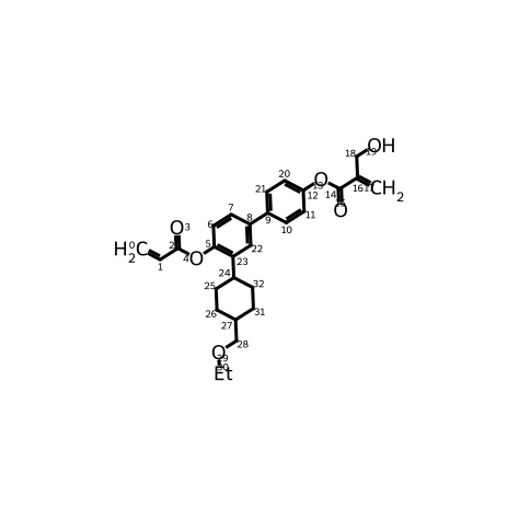 C=CC(=O)Oc1ccc(-c2ccc(OC(=O)C(=C)CO)cc2)cc1C1CCC(COCC)CC1